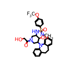 CN=S(=O)(NC1CN(C(=O)CO)CC(N2c3ccccc3CCc3ccccc32)C1O)c1ccc(OC(F)(F)F)cc1